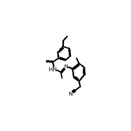 C=C(N/C(C)=N/c1cc(CC#N)ccc1C)c1cccc(CC)c1